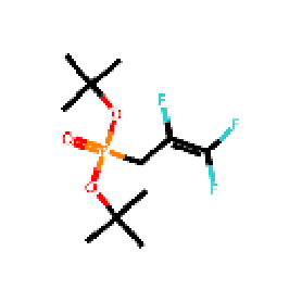 CC(C)(C)OP(=O)(CC(F)=C(F)F)OC(C)(C)C